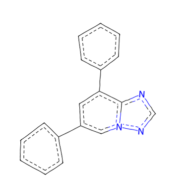 c1ccc(-c2cc(-c3ccccc3)c3ncnn3c2)cc1